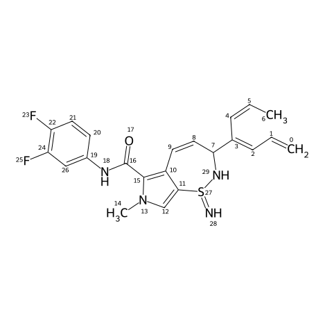 C=C/C=C(\C=C/C)C1C=Cc2c(cn(C)c2C(=O)Nc2ccc(F)c(F)c2)S(=N)N1